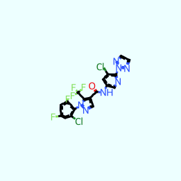 O=C(Nc1cnc(-n2nccn2)c(Cl)c1)c1cnn(-c2c(F)cc(F)cc2Cl)c1C(F)(F)F